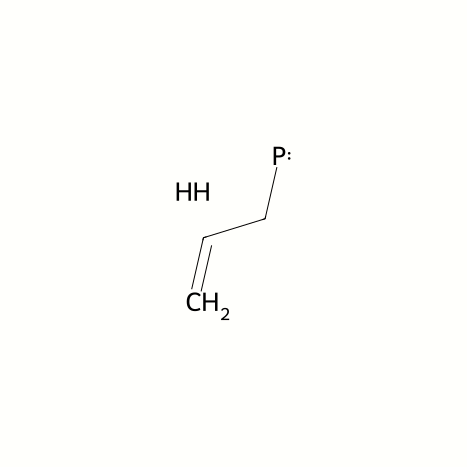 C=CC[P].[HH]